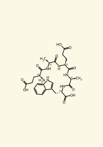 C[C@H](NC(=O)[C@H](CCC(=O)O)NC(=O)[C@H](C)NC(=O)[C@@H](N)CCC(=O)O)C(=O)N[C@@H](Cc1c[nH]c2ccccc12)C(=O)O